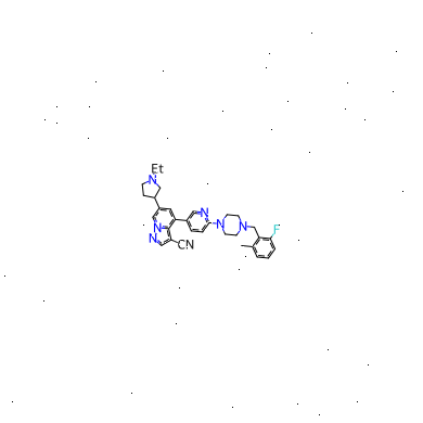 CCN1CCC(c2cc(-c3ccc(N4CCN(Cc5c(C)cccc5F)CC4)nc3)c3c(C#N)cnn3c2)C1